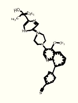 COc1c(N2CCN(C3C=NC(C(C)(C)O)=CN3)CC2)cnc2c(-c3ccc(C#N)cc3)cccc12